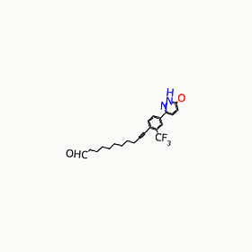 O=CCCCCCCCCC#Cc1ccc(-c2ccc(=O)[nH]n2)cc1C(F)(F)F